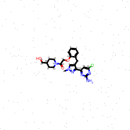 Cn1cc(Cc2ccccc2OCC(=O)N2CCC(CO)CC2)c(-c2cc(Cl)nc(N)n2)n1